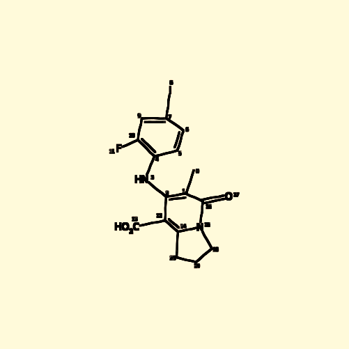 Cc1c(Nc2ccc(I)cc2F)c(C(=O)O)c2n(c1=O)CCC2